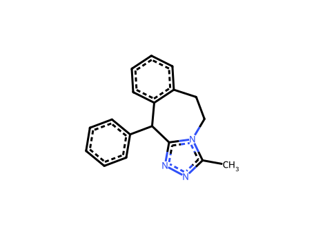 Cc1nnc2n1CCc1ccccc1C2c1ccccc1